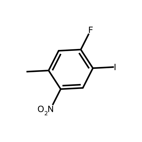 Cc1cc(F)c(I)cc1[N+](=O)[O-]